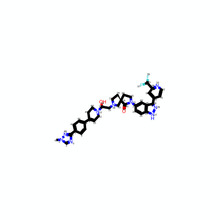 Cn1cnc(-c2ccc(C3=CCN(C(O)CN4CC[C@]5(CCN(c6ccc7[nH]nc(-c8ccnc(C(F)F)c8)c7c6)C5=O)C4)CC3)cc2)n1